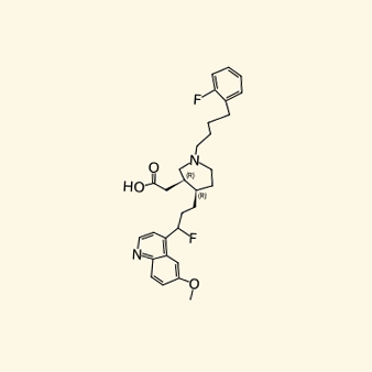 COc1ccc2nccc(C(F)CC[C@@H]3CCN(CCCCc4ccccc4F)C[C@@H]3CC(=O)O)c2c1